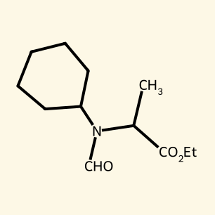 CCOC(=O)C(C)N(C=O)C1CCCCC1